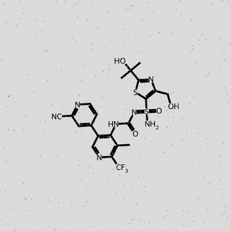 Cc1c(C(F)(F)F)ncc(-c2ccnc(C#N)c2)c1NC(=O)N=S(N)(=O)c1sc(C(C)(C)O)nc1CO